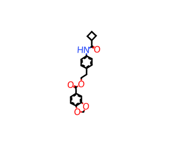 O=C(OCCc1ccc(NC(=O)C2CCC2)cc1)c1ccc2c(c1)OCO2